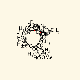 CC[C@H]1OC(=O)[C@H](C)[C@@H](O[C@H]2C[C@@](C)(OC)[C@@H](O)[C@H](C)O2)[C@H](C)[C@@H](O[C@@H]2O[C@H](C)C[C@H](NC)[C@H]2Oc2ccc(F)c(S(C)(=O)=O)c2)[C@](C)(O)C[C@@H](C)CN(C)[C@H](C)[C@@H](O)[C@]1(C)O